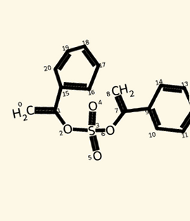 C=C(OS(=O)(=O)OC(=C)c1ccccc1)c1ccccc1